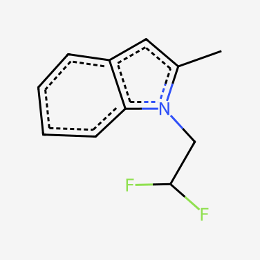 Cc1cc2ccccc2n1CC(F)F